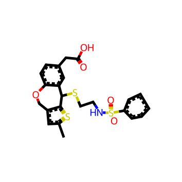 Cc1cc2c(s1)C(SCCNS(=O)(=O)c1ccccc1)c1cc(CC(=O)O)ccc1OC2